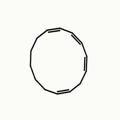 [C]1=CC=CC=CCC=CCCCCC1